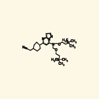 C[Si](C)(C)CCOCN(COCC[Si](C)(C)C)c1cc(C2CCC(CC#N)CC2)nc2ccnn12